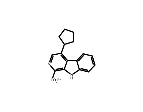 CCOC(=O)c1ncc(C2CCCC2)c2c1[nH]c1ccccc12